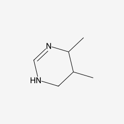 CC1CNC=NC1C